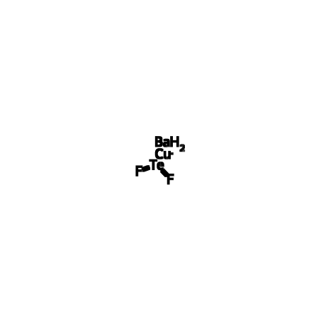 F[Te]F.[BaH2].[Cu]